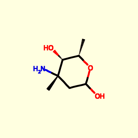 C[C@@H]1OC(O)C[C@](C)(N)[C@@H]1O